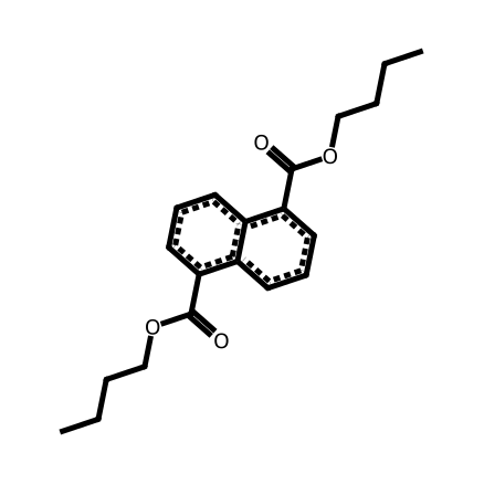 CCCCOC(=O)c1cccc2c(C(=O)OCCCC)cccc12